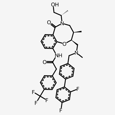 C[C@@H]1CN([C@@H](C)CO)C(=O)c2cccc(NC(=O)Cc3ccc(C(F)(F)F)cc3)c2O[C@@H]1CN(C)Cc1ccc(-c2ccc(F)cc2F)cc1